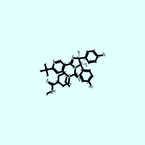 CCOc1cc(C(C)(C)C)ncc1C1=N[C@@](C)(c2ccc(Cl)cc2)[C@@](C)(c2ccc(Cl)cc2)N1C(=O)N1CCC(C(=O)NC)CC1